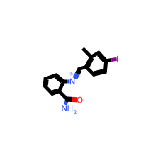 Cc1cc(I)ccc1/C=N/c1ccccc1C(N)=O